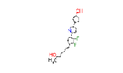 CC(O)CCC/C=C/c1ccc(-c2ccc(-c3ccc(O)cc3)cn2)c(F)c1F